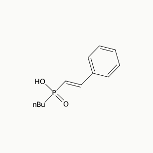 CCCCP(=O)(O)C=Cc1ccccc1